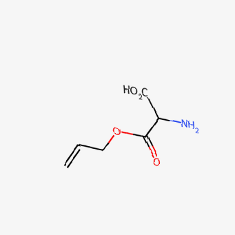 C=CCOC(=O)C(N)C(=O)O